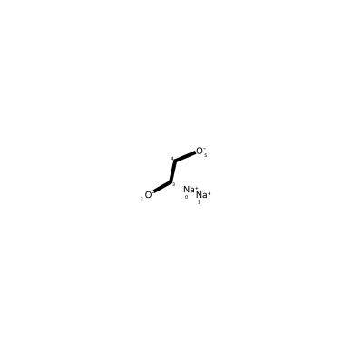 [Na+].[Na+].[O-]CC[O-]